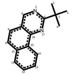 CC(C)(C)c1ncc2ccc3ccccc3c2n1